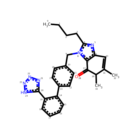 CCCCc1nc2c(n1Cc1ccc(-c3ccccc3-c3nnn[nH]3)cc1)C(=O)C(C)C(C)=C2